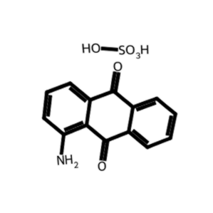 Nc1cccc2c1C(=O)c1ccccc1C2=O.O=S(=O)(O)O